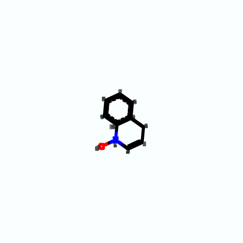 [O]N1C=CCc2ccccc21